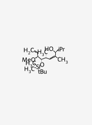 C=C[C@H](OC)[C@@H](O[Si](C)(C)C(C)(C)C)[C@H](C)/C=C(/C)[C@@H](O)C(C)C